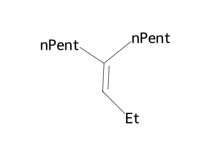 [CH2]CC=C(CCCCC)CCCCC